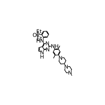 CCP(=O)(CC)c1ccccc1Nc1nc(Nc2cc(C)c(N3CCC(N4CCN(C)CC4)CC3)cc2C)nc2[nH]ccc12